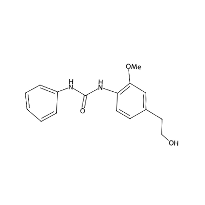 COc1cc(CCO)ccc1NC(=O)Nc1ccccc1